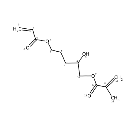 C=CC(=O)OCC[CH]C(O)COC(=O)C(=C)C